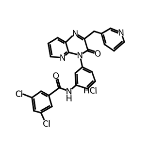 Cl.O=C(Nc1cccc(-n2c(=O)c(Cc3cccnc3)nc3cccnc32)c1)c1cc(Cl)cc(Cl)c1